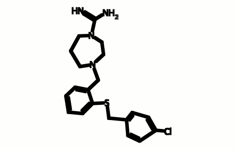 N=C(N)N1CCCN(Cc2ccccc2SCc2ccc(Cl)cc2)CC1